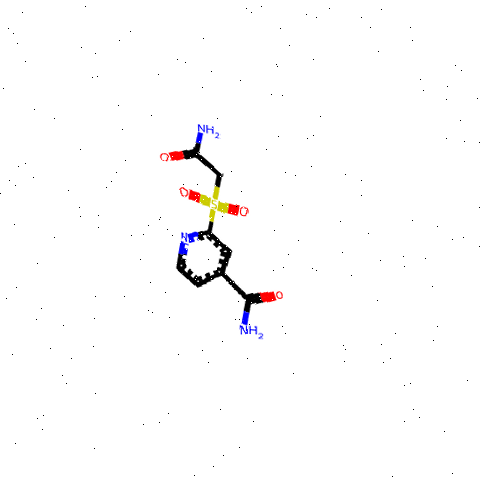 NC(=O)CS(=O)(=O)c1cc(C(N)=O)ccn1